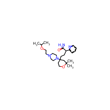 CC(C)OCCN1CCN(C2(CCC(C(N)=O)c3ccccn3)CCOC(C)(C)C2)CC1